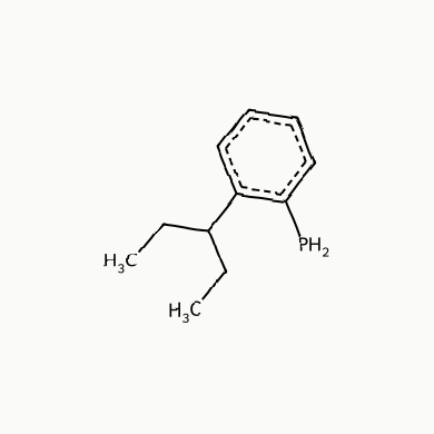 CCC(CC)c1ccccc1P